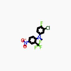 CN(c1ccc(F)c(Cl)c1)c1ccc([N+](=O)[O-])cc1C(F)(F)F